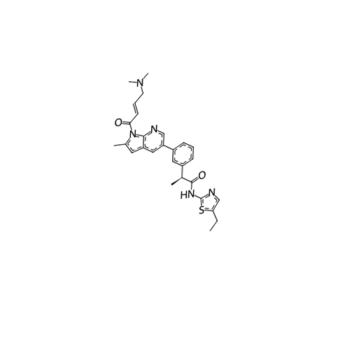 CCc1cnc(NC(=O)[C@@H](C)c2cccc(-c3cnc4c(c3)cc(C)n4C(=O)/C=C/CN(C)C)c2)s1